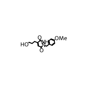 COc1ccc(Cn2[nH]c(=O)c(CCCO)cc2=O)cc1